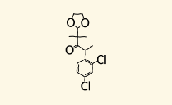 CC(C(=O)C(C)(C)C1OCCO1)c1ccc(Cl)cc1Cl